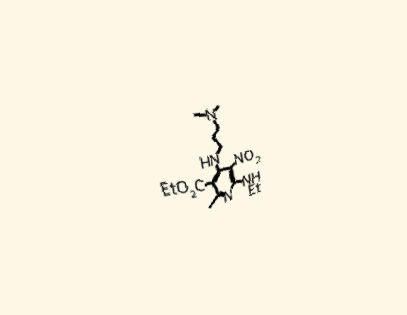 CCNc1nc(C)c(C(=O)OCC)c(NCCCN(C)C)c1[N+](=O)[O-]